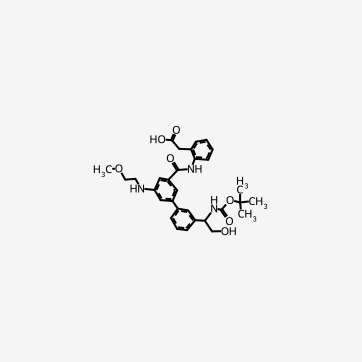 COCCNc1cc(C(=O)Nc2ccccc2CC(=O)O)cc(-c2cccc(C(CO)NC(=O)OC(C)(C)C)c2)c1